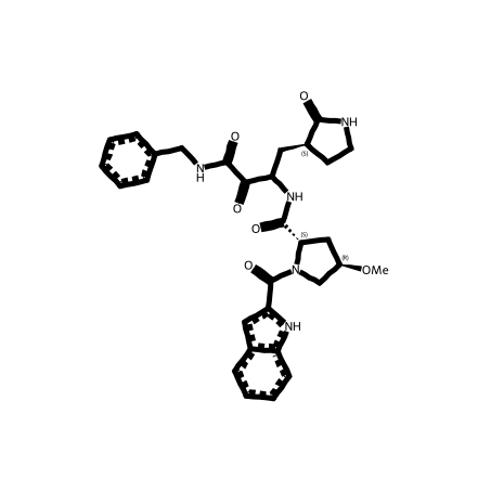 CO[C@@H]1C[C@@H](C(=O)NC(C[C@@H]2CCNC2=O)C(=O)C(=O)NCc2ccccc2)N(C(=O)c2cc3ccccc3[nH]2)C1